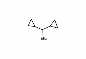 [CH2]CCCC(C1CC1)C1CC1